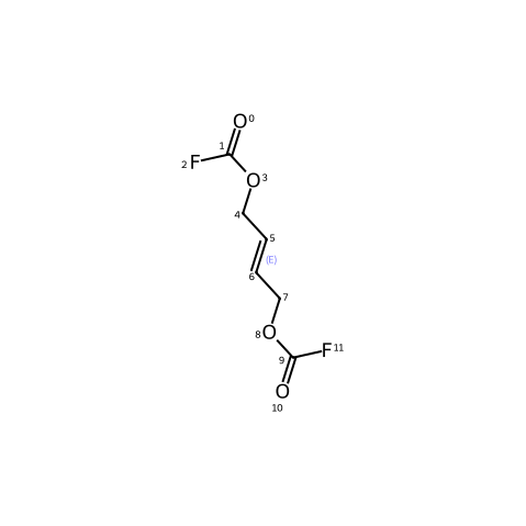 O=C(F)OC/C=C/COC(=O)F